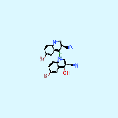 N#Cc1cnc2ccc(Br)cc2c1Cl.N#Cc1cnc2ccc(Br)cc2c1O